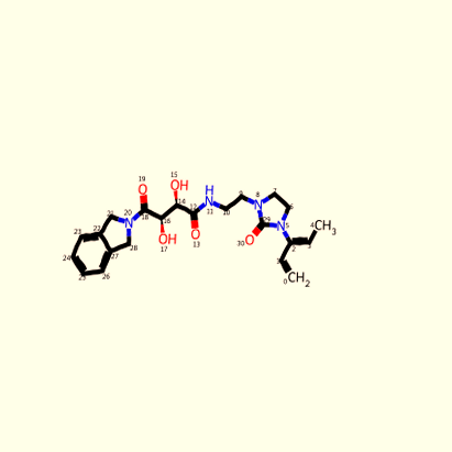 C=C/C(=C/C)N1CCN(CCNC(=O)[C@H](O)[C@@H](O)C(=O)N2Cc3ccccc3C2)C1=O